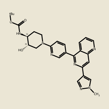 Cn1cc(-c2cc3ncccc3c(-c3ccc(N4CC[C@H](NC(=O)OC(C)(C)C)[C@@H](O)C4)nc3)n2)cn1